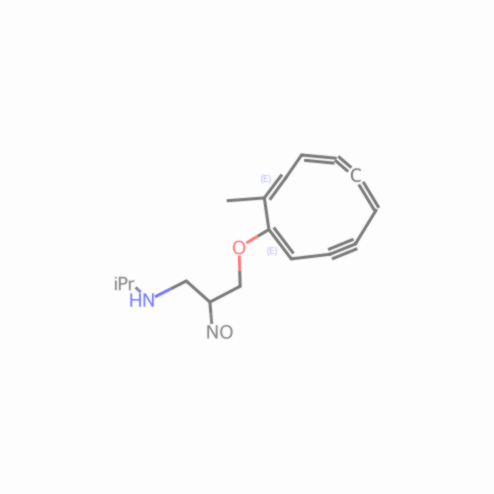 CC1=C\C=C=C=CC#C/C=C\1OCC(CNC(C)C)N=O